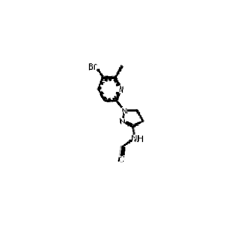 Cc1nc(N2CCC(NC=O)=N2)ccc1Br